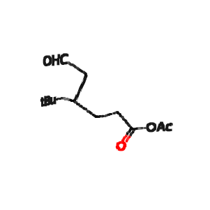 CC(=O)OC(=O)CCC(CC=O)C(C)(C)C